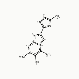 CCCc1c(OC)nc2nc(-c3nnc(C)o3)cn2c1C